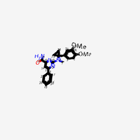 COc1ccc(C2(N(C)c3nc(C(N)=O)cc(-c4ccccc4)n3)CC2)cc1OC